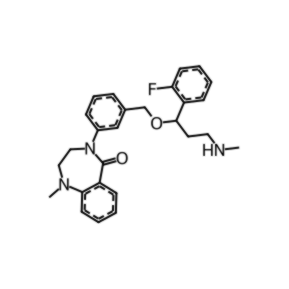 CNCCC(OCc1cccc(N2CCN(C)c3ccccc3C2=O)c1)c1ccccc1F